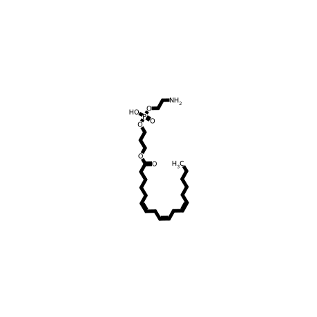 CCCCC/C=C\C/C=C\C/C=C\CCCCC(=O)OCCCOP(=O)(O)OCCN